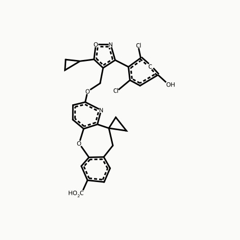 O=C(O)c1ccc2c(c1)Oc1ccc(OCc3c(-c4c(Cl)cc(O)cc4Cl)noc3C3CC3)nc1C1(CC1)C2